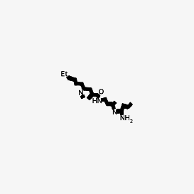 C=NC(CC/C=C/CC)CC(=C)C(=O)NC/C=C(C)/N=C(N)\C=C\C